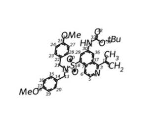 C=C(C)c1nccc2c(S(=O)(=O)N(Cc3ccc(OC)cc3)Cc3ccc(OC)cc3)cc(NC(=O)OC(C)(C)C)cc12